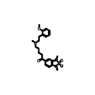 COc1ccccc1CCN(C)CCCCC(=O)c1ccc2c(c1)N(C)S(=O)(=O)N2C